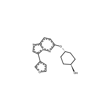 O[C@H]1CC[C@H](Oc2ccc3ncc(-c4ccoc4)n3n2)CC1